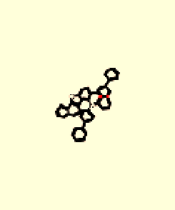 c1ccc(-c2ccc(N(c3ccccc3)c3c(-c4cccc(-c5ccccc5)c4)ccc4oc5c6ccccc6ccc5c34)cc2)cc1